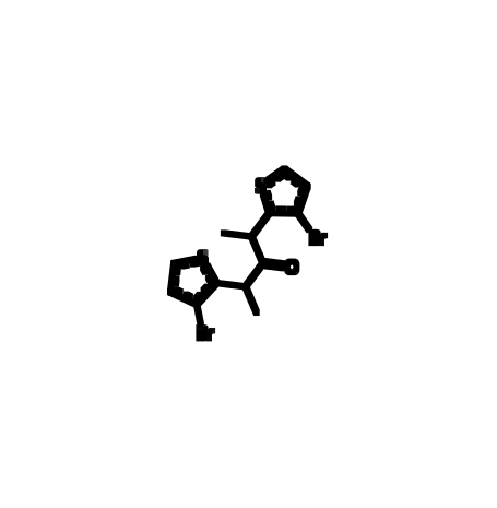 CC(C(=O)C(C)c1sccc1Br)c1sccc1Br